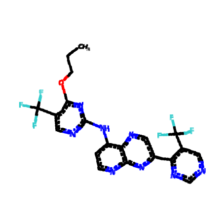 CCCOc1nc(Nc2ccnc3nc(-c4ncncc4C(F)(F)F)cnc23)ncc1C(F)(F)F